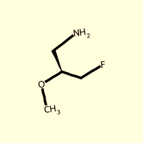 CO[C@@H](CN)CF